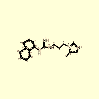 Cc1cncn1CCCNC(=N)Nc1cccc2ccccc12